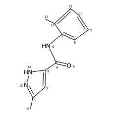 Cc1cc(C(=O)Nc2ccccc2C)[nH]n1